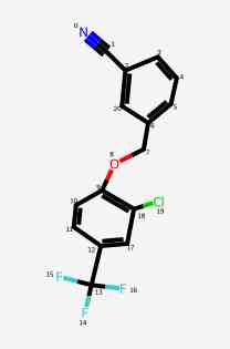 N#Cc1cccc(COc2ccc(C(F)(F)F)cc2Cl)c1